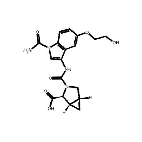 NC(=O)n1cc(NC(=O)N2C[C@@H]3C[C@@H]3[C@H]2C(=O)O)c2cc(OCCO)ccc21